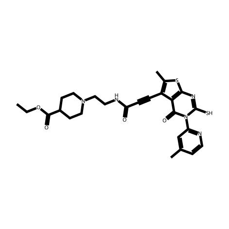 CCOC(=O)C1CCN(CCNC(=O)C#Cc2c(C)sc3nc(S)n(-c4cc(C)ccn4)c(=O)c23)CC1